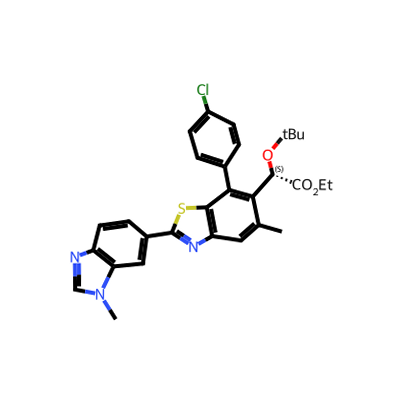 CCOC(=O)[C@@H](OC(C)(C)C)c1c(C)cc2nc(-c3ccc4ncn(C)c4c3)sc2c1-c1ccc(Cl)cc1